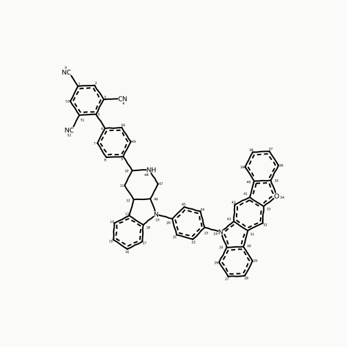 N#Cc1cc(C#N)c(-c2ccc(C3CC4c5ccccc5N(c5ccc(-n6c7ccccc7c7cc8oc9ccccc9c8cc76)cc5)C4CN3)cc2)c(C#N)c1